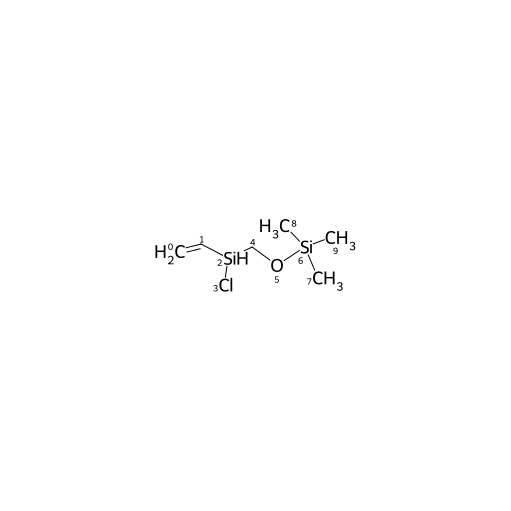 C=C[SiH](Cl)CO[Si](C)(C)C